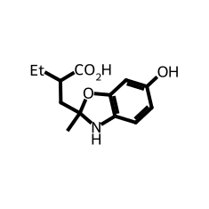 CCC(CC1(C)Nc2ccc(O)cc2O1)C(=O)O